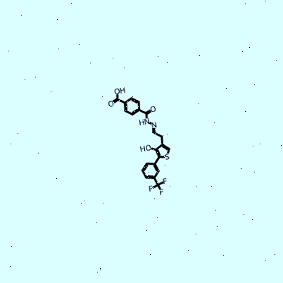 O=C(O)c1ccc(C(=O)NN=CCc2csc(-c3cccc(C(F)(F)F)c3)c2O)cc1